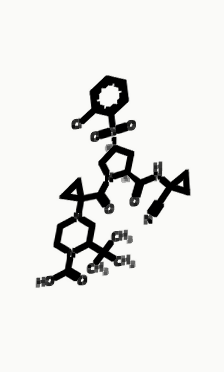 CC(C)(C)C1CN(C2(C(=O)N3C[C@H](S(=O)(=O)c4ccccc4Cl)C[C@H]3C(=O)NC3(C#N)CC3)CC2)CCN1C(=O)O